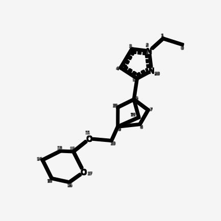 CCn1ccc(C23CCC(COC4CCCCO4)(C2)C3)n1